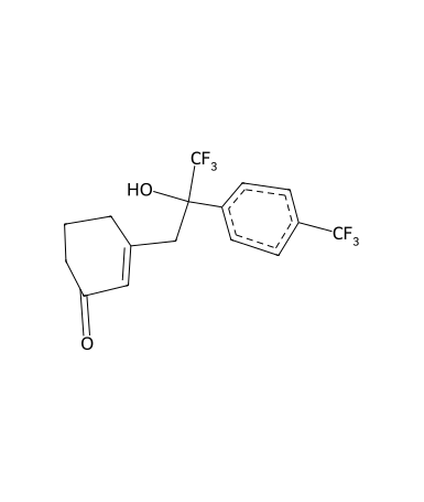 O=C1C=C(CC(O)(c2ccc(C(F)(F)F)cc2)C(F)(F)F)CCC1